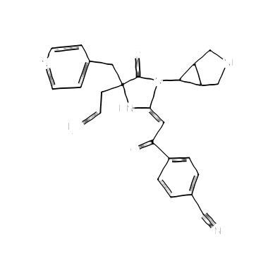 C=CCC1(Cc2ccncc2)NC(=CC(=O)c2ccc(C#N)cc2)N(C2C3CNCC32)C1=O